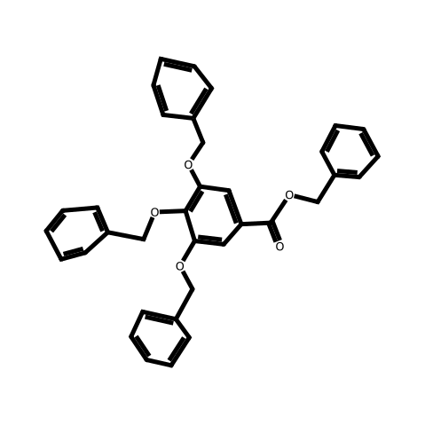 O=C(OCc1ccccc1)c1cc(OCc2ccccc2)c(OCc2ccccc2)c(OCc2ccccc2)c1